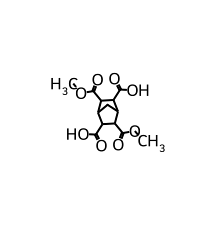 COC(=O)C1C2CC(C1C(=O)O)C(C(=O)OC)C2C(=O)O